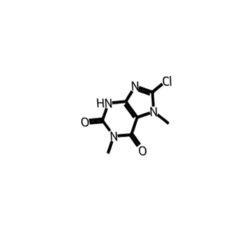 Cn1c(=O)[nH]c2nc(Cl)n(C)c2c1=O